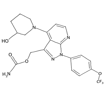 NC(=O)OCc1nn(-c2ccc(OC(F)(F)F)cc2)c2nccc(N3CCCC(O)C3)c12